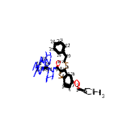 CCOc1ccc2sc(C(=O)Nc3nnn[nH]3)c(SCCc3ccccc3)c2c1